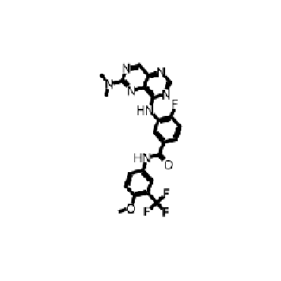 COc1ccc(NC(=O)c2ccc(F)c(Nc3ncnc4cnc(N(C)C)nc34)c2)cc1C(F)(F)F